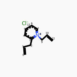 C=CCc1cccc[n+]1CC=C.[Cl-]